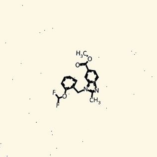 COC(=O)c1ccc2nc(C)n(Cc3ccccc3OC(F)F)c2c1